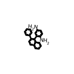 Nc1ccc(N)c(-c2c(-c3ccccc3)ccc3ccccc23)c1